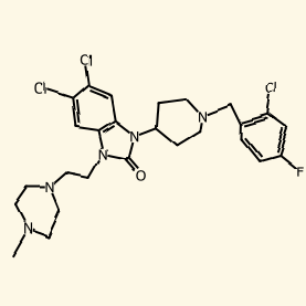 CN1CCN(CCn2c(=O)n(C3CCN(Cc4ccc(F)cc4Cl)CC3)c3cc(Cl)c(Cl)cc32)CC1